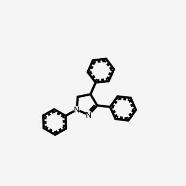 c1ccc(C2=NN(c3ccccc3)CC2c2ccccc2)cc1